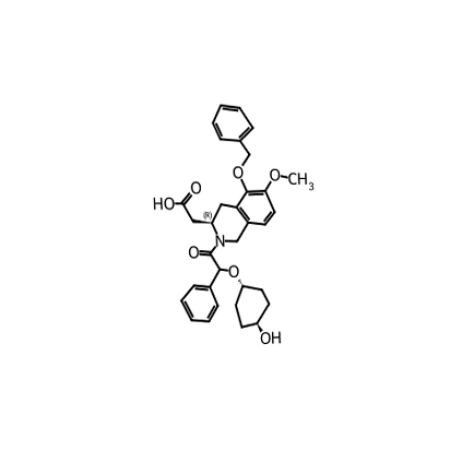 COc1ccc2c(c1OCc1ccccc1)C[C@H](CC(=O)O)N(C(=O)C(O[C@H]1CC[C@H](O)CC1)c1ccccc1)C2